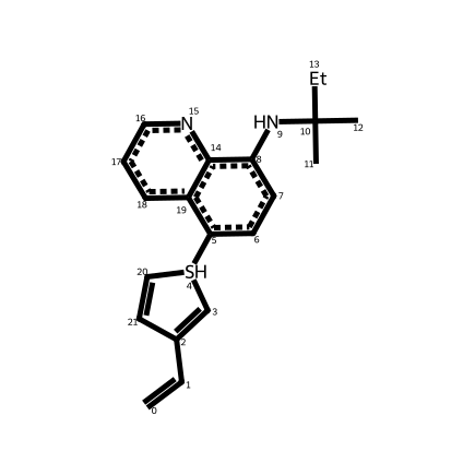 C=CC1=C[SH](c2ccc(NC(C)(C)CC)c3ncccc23)C=C1